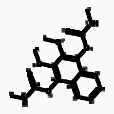 CNC(=O)Oc1c(OC)c(OC)c(OC(=O)NC)c2ccccc12